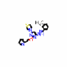 Cc1cccc(C=NNc2cc(N3CCSCC3)nc(OCCc3ccccn3)n2)c1